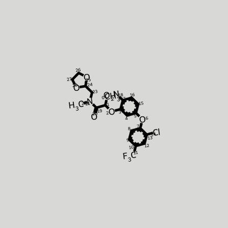 CC(Oc1cc(Oc2ccc(C(F)(F)F)cc2Cl)ccc1[N+](=O)[O-])C(=O)N(C)CC1OCCO1